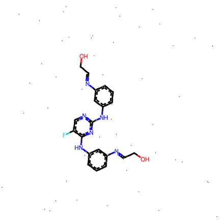 OCC=Nc1cccc(Nc2ncc(F)c(Nc3cccc(N=CCO)c3)n2)c1